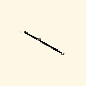 OCCCCCCCCCCCCCCCCCCCCCCNCCCCCCCCCCCCO